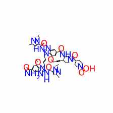 CCn1nc(C)cc1C(=O)Nc1nc2cc(C(N)=O)cc(OC)c2n1CC=CCn1c(NC(=O)c2cc(C)nn2CC)nc2cc(C(N)=O)cc(OCC#CC3CCN(C(=O)C4CCN(C(=O)O)CC4)CC3)c21